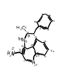 C[C@H](Cc1ccccc1)Nc1c(N)cnc2ccccc12